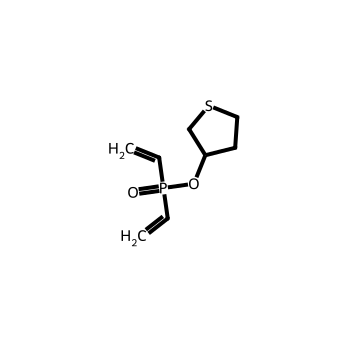 C=CP(=O)(C=C)OC1CCSC1